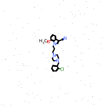 COc1cccc2c(C#N)cn(CCCN3CCN(Cc4ccccc4Cl)CC3)c12